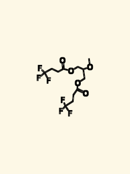 COC(COC(=O)CCC(F)(F)F)COC(=O)CCC(F)(F)F